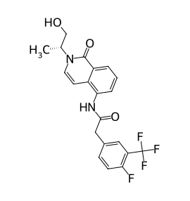 C[C@H](CO)n1ccc2c(NC(=O)Cc3ccc(F)c(C(F)(F)F)c3)cccc2c1=O